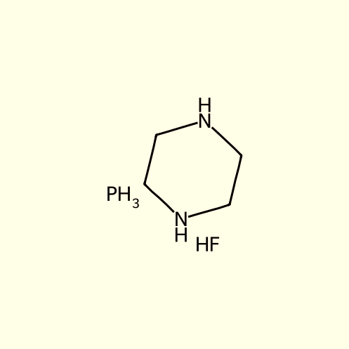 C1CNCCN1.F.P